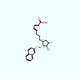 O=C(O)c1ccc(CCC[C@H]2CC(F)C(Cl)[C@@H]2CSc2ccc3ccccc3c2)s1